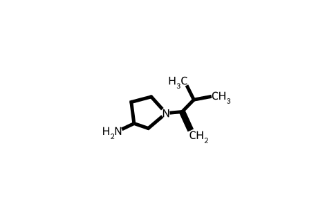 C=C(C(C)C)N1CCC(N)C1